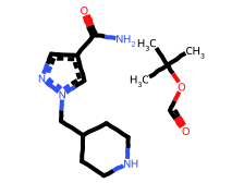 CC(C)(C)OC=O.NC(=O)c1cnn(CC2CCNCC2)c1